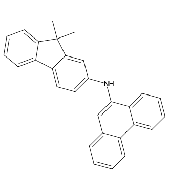 CC1(C)c2ccccc2-c2ccc(Nc3cc4ccccc4c4ccccc34)cc21